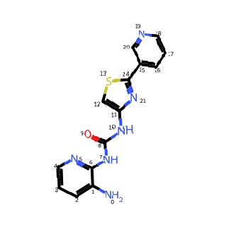 Nc1cccnc1NC(=O)Nc1csc(-c2cccnc2)n1